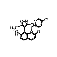 Cc1noc(C)c1-c1c(O)ccc2ccc(=O)n(Cc3ccc(Cl)cn3)c12